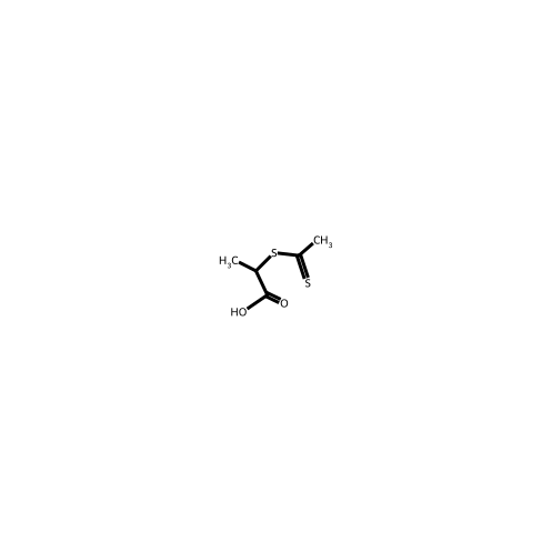 CC(=S)SC(C)C(=O)O